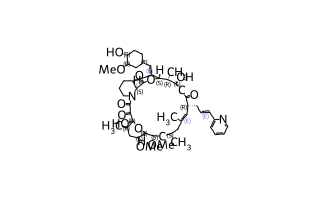 CO[C@H]1C[C@@H](C)C/C(C)=C/[C@@H](C/C=C/c2ccccn2)C(=O)C[C@H](O)[C@@H](C)[C@@H]2OC(=O)[C@@H]3C(CCCN3C(=O)C(=O)[C@]3(O)O[C@H]1[C@@H](OC)C[C@H]3C)/C2=C\[C@@H]1CC[C@@H](O)[C@H](OC)C1